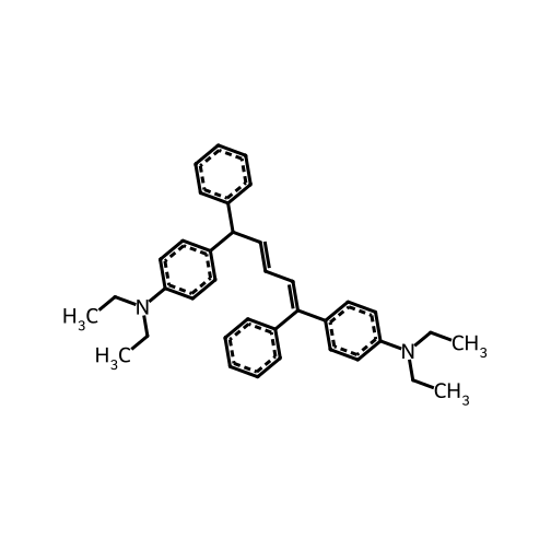 CCN(CC)c1ccc(C(=CC=CC(c2ccccc2)c2ccc(N(CC)CC)cc2)c2ccccc2)cc1